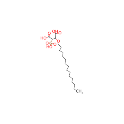 CCCCCCCCCCCCCCCCOC(C(=O)O)C(C(=O)O)S(=O)(=O)O